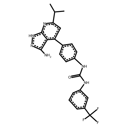 CC(C)c1cc(-c2ccc(NC(=O)Nc3cccc(C(F)(F)F)c3)cc2)c2c(N)n[nH]c2n1